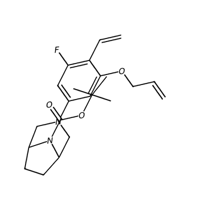 C=CCOc1cc(N2CC3CCC(C2)N3C(=O)OC(C)(C)C)cc(F)c1C=C